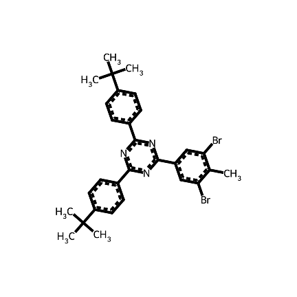 Cc1c(Br)cc(-c2nc(-c3ccc(C(C)(C)C)cc3)nc(-c3ccc(C(C)(C)C)cc3)n2)cc1Br